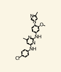 COc1cc(Nc2nc(C)cc(Nc3ccc(Cl)cc3)n2)ccc1-n1cnc(C)c1